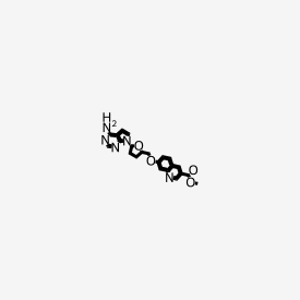 COC(=O)c1cnc2cc(OCC3CCC(n4ccc5c(N)ncnc54)O3)ccc2c1